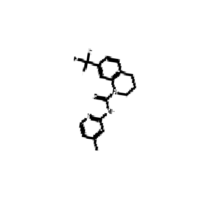 Cc1ccnc(NC(=S)N2CCCc3ccc(C(F)(F)F)cc32)c1